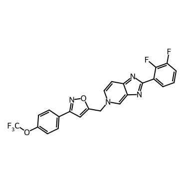 Fc1cccc(-c2nc3ccn(Cc4cc(-c5ccc(OC(F)(F)F)cc5)no4)cc-3n2)c1F